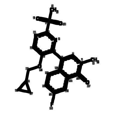 Cn1cc(-c2nc(S(C)(=O)=O)ncc2OCC2CC2)c2ccc(F)cc2c1=O